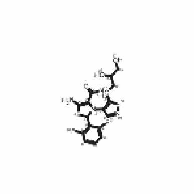 NC(=O)C1=C(N)SC(c2c(F)cccc2F)N1c1cnsc1OCC(O)CO